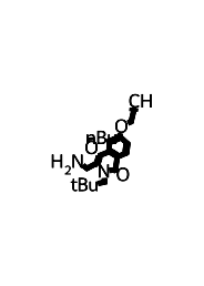 C#CCOc1ccc2c(=O)n(CC(C)(C)C)c(CN)c(OCCCC)c2c1